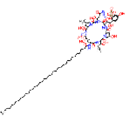 CCCCCCCCCCCCCCCCCCCCCCCCCCCCCCCCCCCC(=O)NC1CC(O)C(O)NC(=O)C2C(O)C(C)CN2C(=O)C(C(O)CC(N)=O)NC(=O)C(C(O)C(O)c2ccc(O)c(O[SH](=O)=O)c2)NC(=O)C2CC(O)CN2C(=O)C(C(C)O)NC1=O